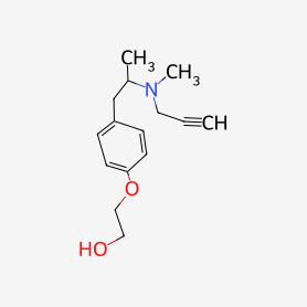 C#CCN(C)C(C)Cc1ccc(OCCO)cc1